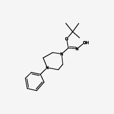 CC(C)(C)OC(=NO)N1CCN(c2ccccc2)CC1